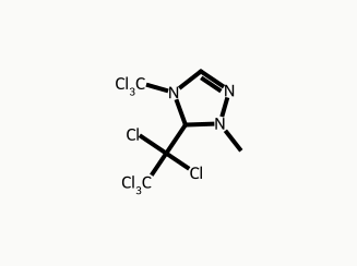 CN1N=CN(C(Cl)(Cl)Cl)C1C(Cl)(Cl)C(Cl)(Cl)Cl